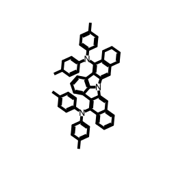 Cc1ccc(N(C2=CCC(C)C=C2)c2c3c(cc4c2c2cccc5c6c(N(c7ccc(C)cc7)c7ccc(C)cc7)c7ccccc7cc6n4c25)C=CCC3)cc1